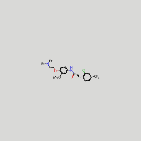 CCN(CC)CCOc1ccc(NC(=O)/C=C/c2ccc(C(F)(F)F)cc2Cl)cc1OC